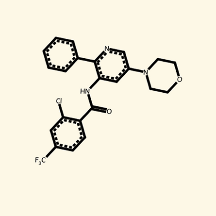 O=C(Nc1cc(N2CCOCC2)cnc1-c1ccccc1)c1ccc(C(F)(F)F)cc1Cl